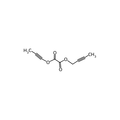 CC#CCOC(=O)C(=O)OC#CC